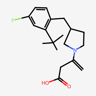 C=C(CC(=O)O)N1CCC(Cc2ccc(F)cc2C(C)(C)C)C1